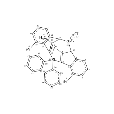 CC1=C2c3c(C(C)C)cccc3[CH]1[Zr+2][CH]1C(C)=C(c3c(C(C)C)cccc31)[Si]2(c1ccccc1)c1ccccc1.[Cl-].[Cl-]